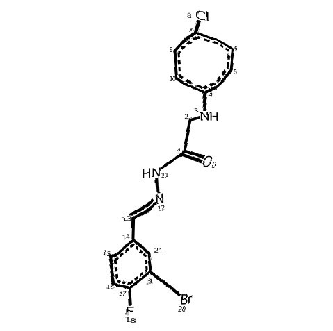 O=C(CNc1ccc(Cl)cc1)NN=Cc1ccc(F)c(Br)c1